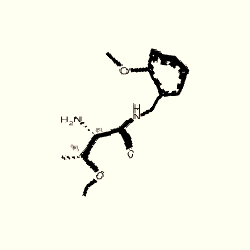 COc1ccccc1CNC(=O)[C@@H](N)[C@@H](C)OC